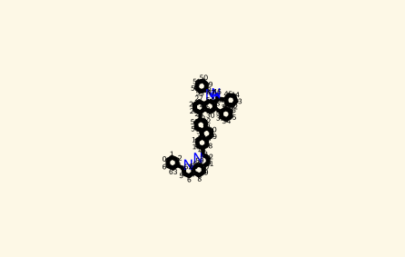 c1ccc(-c2ccc3ccc4ccc(-c5ccc6c(ccc7cc(-c8cccc9c8cc(-c8ccccc8)c8c(-c%10ccccc%10)nn(-c%10ccccc%10)c89)ccc76)c5)nc4c3n2)cc1